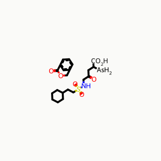 O=C(CNS(=O)(=O)CCC1CCCCC1)CC([AsH2])C(=O)O.O=C1OCc2cccc1c2